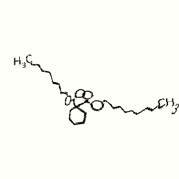 CCCCCCCCCOC(=O)C1(C(=O)OCCCCCCCCC)CCCCC1